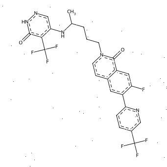 CC(CCCn1ccc2cc(-c3ccc(C(F)(F)F)cn3)c(F)cc2c1=O)Nc1cn[nH]c(=O)c1C(F)(F)F